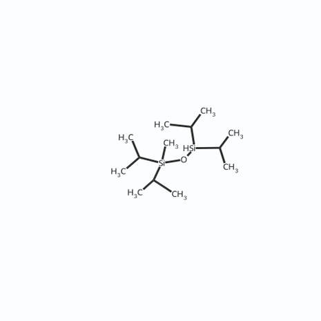 CC(C)[SiH](O[Si](C)(C(C)C)C(C)C)C(C)C